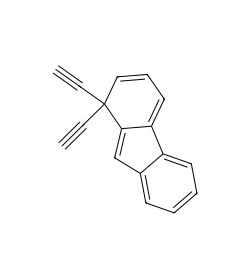 C#CC1(C#C)C=CC=C2C1=Cc1ccccc12